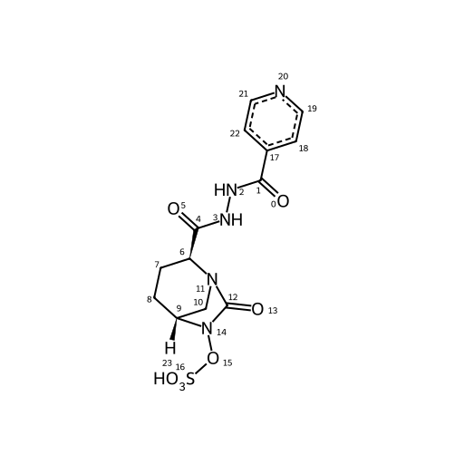 O=C(NNC(=O)[C@@H]1CC[C@@H]2CN1C(=O)N2OS(=O)(=O)O)c1ccncc1